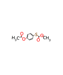 COC(=O)Sc1ccc(OC(C)=O)cc1